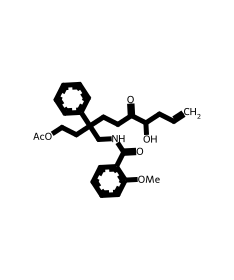 C=CCC(O)C(=O)CCC(CCOC(C)=O)(CNC(=O)c1ccccc1OC)c1ccccc1